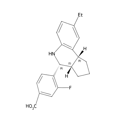 CCc1ccc2c(c1)[C@@H]1CCC[C@@H]1[C@H](c1ccc(C(=O)O)cc1F)N2